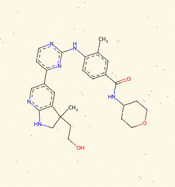 Cc1cc(C(=O)NC2CCOCC2)ccc1Nc1nccc(-c2cnc3c(c2)C(C)(CCO)CN3)n1